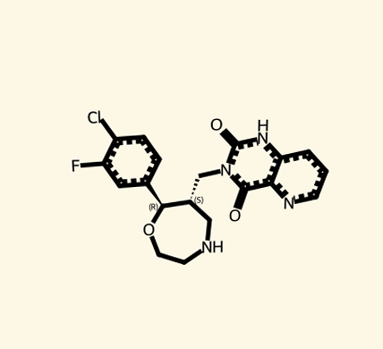 O=c1[nH]c2cccnc2c(=O)n1C[C@@H]1CNCCO[C@H]1c1ccc(Cl)c(F)c1